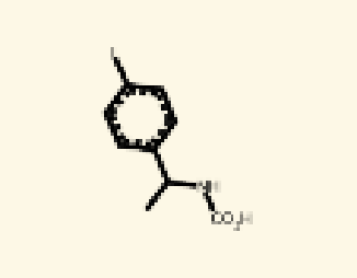 CC(NC(=O)O)c1ccc(I)cc1